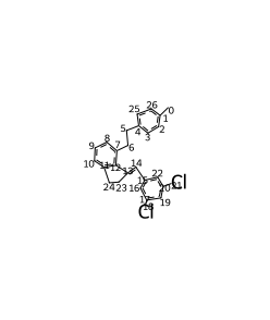 Cc1ccc(CCc2cccc3c2/C(=C/c2cc(Cl)cc(Cl)c2)CC3)cc1